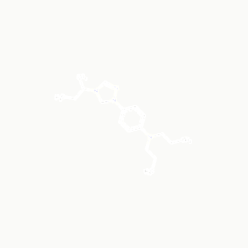 CCCN(CCC)c1ccc(N2CN(C(C)CC)C=N2)cc1